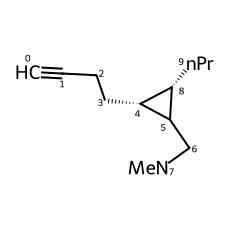 C#CCC[C@H]1C(CNC)[C@H]1CCC